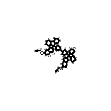 C#CCOc1ccc2cc(C3(c4ccc(-c5ccc(C6(c7ccc8ccc(OCC#C)cc8c7)c7ccccc7-c7ccccc76)cc5)cc4)c4ccccc4-c4ccccc43)ccc2c1